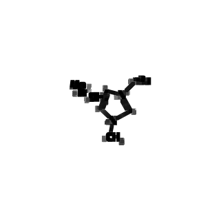 CCCC[n+]1ccn(C)c1.[Br-].[Mo].[SiH4]